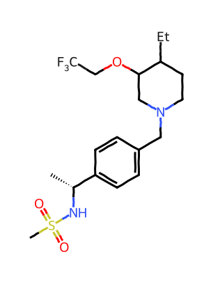 CCC1CCN(Cc2ccc([C@@H](C)NS(C)(=O)=O)cc2)CC1OCC(F)(F)F